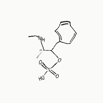 CN[C@@H](C)C(OS(=O)(=O)O)c1ccccc1